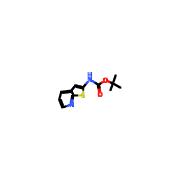 CC(C)(C)OC(=O)Nc1cc2cccnc2s1